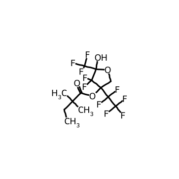 CCC(C)(C)C(=O)OC1(C(F)(F)C(F)(F)F)COC(O)(C(F)(F)F)C1(F)F